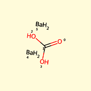 O=C(O)O.[BaH2].[BaH2]